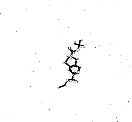 CCOC(=O)c1cc2c(cn1)CN(C(=O)OC(C)(C)C)CC2